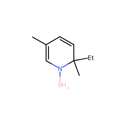 BN1C=C(C)C=CC1(C)CC